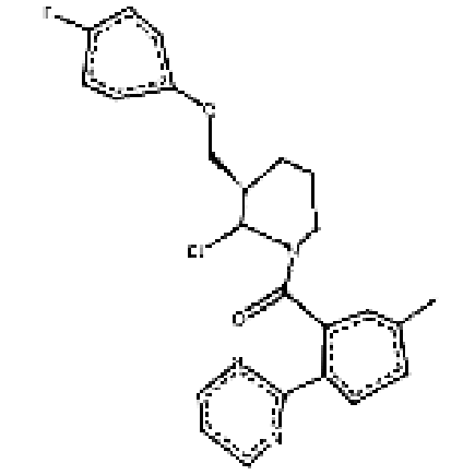 CCC1[C@@H](COc2ccc(F)cc2)CCCN1C(=O)c1cc(C)ccc1-c1ncccn1